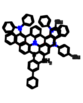 CC(C)(C)c1ccc(N(c2ccc(C(C)(C)C)cc2)c2cc3c4c(c2)N(c2c(-c5cccc6c7ccccc7n(-c7ccccc7)c56)cccc2-c2cccc5c6ccccc6n(-c6ccccc6)c25)c2cc(-c5ccccc5)ccc2B4c2ccc(-c4ccccc4)cc2[SiH2]3)cc1